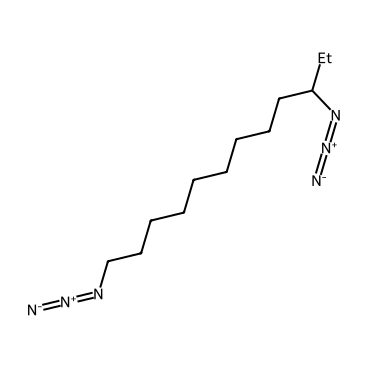 CCC(CCCCCCCCCN=[N+]=[N-])N=[N+]=[N-]